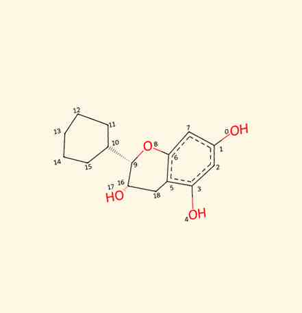 Oc1cc(O)c2c(c1)O[C@@H](C1CCCCC1)[C@@H](O)C2